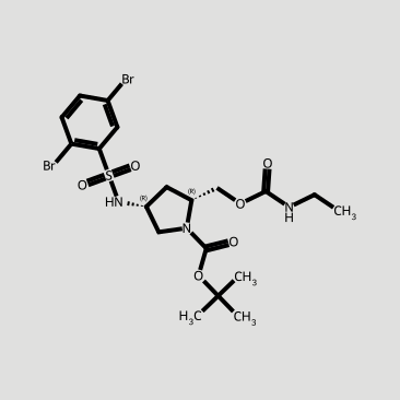 CCNC(=O)OC[C@H]1C[C@@H](NS(=O)(=O)c2cc(Br)ccc2Br)CN1C(=O)OC(C)(C)C